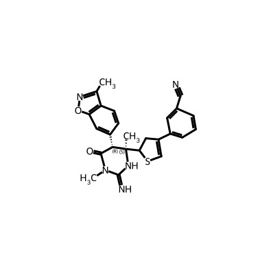 Cc1noc2cc([C@H]3C(=O)N(C)C(=N)N[C@]3(C)C3CC(c4cccc(C#N)c4)=CS3)ccc12